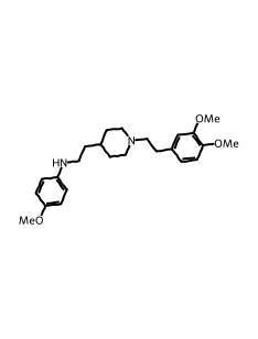 COc1ccc(NCCC2CCN(CCc3ccc(OC)c(OC)c3)CC2)cc1